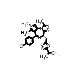 Cc1c2c(cn1C)-n1c(C)nnc1[C@H](Cc1nc(C(C)C)no1)N=C2c1ccc(Cl)cc1